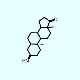 CC12CCC3C(CCC4CC(=N)CC[C@@]43C)C1CCC2=O